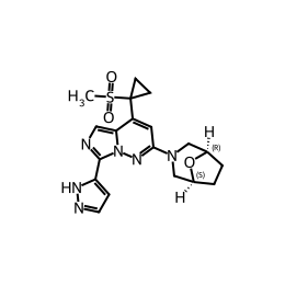 CS(=O)(=O)C1(c2cc(N3C[C@H]4CC[C@@H](C3)O4)nn3c(-c4ccn[nH]4)ncc23)CC1